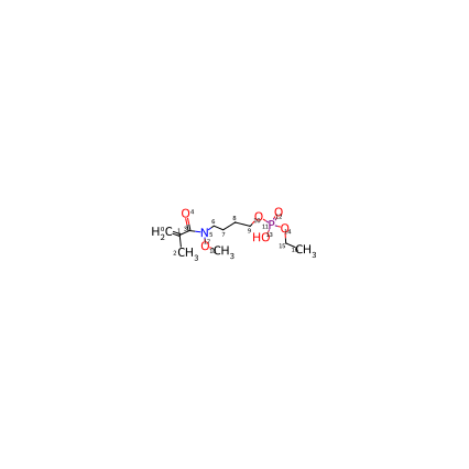 C=C(C)C(=O)N(CCCCOP(=O)(O)OCC)OC